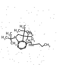 CCCNCc1cccc2c1C(C(C)(C)C)(C(C)(C)C)CN2C(C)(C)C